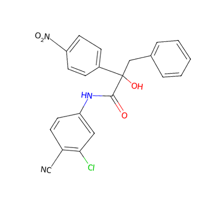 N#Cc1ccc(NC(=O)C(O)(Cc2ccccc2)c2ccc([N+](=O)[O-])cc2)cc1Cl